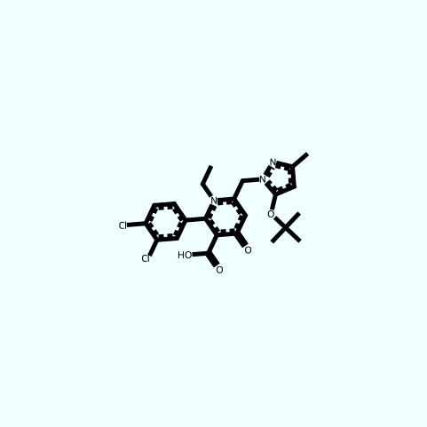 CCn1c(Cn2nc(C)cc2OC(C)(C)C)cc(=O)c(C(=O)O)c1-c1ccc(Cl)c(Cl)c1